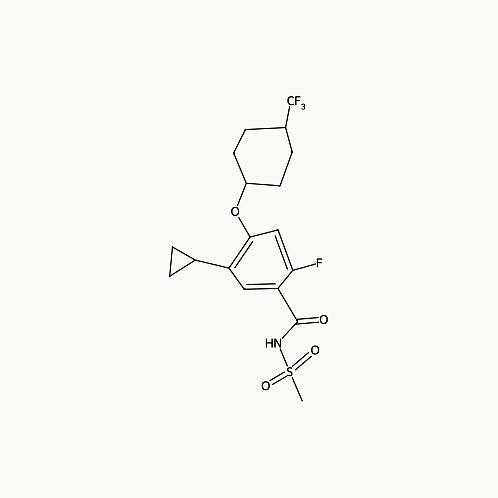 CS(=O)(=O)NC(=O)c1cc(C2CC2)c(OC2CCC(C(F)(F)F)CC2)cc1F